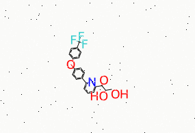 O=C(c1cccc(-c2ccc(Oc3ccc(C(F)(F)F)cc3)cc2)n1)C(O)CO